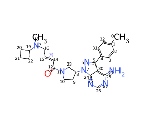 Cc1ccc(-c2nn(C3CCN(C(=O)/C=C/CN(C)C4CCC4)C3)c3ncnc(N)c23)cc1